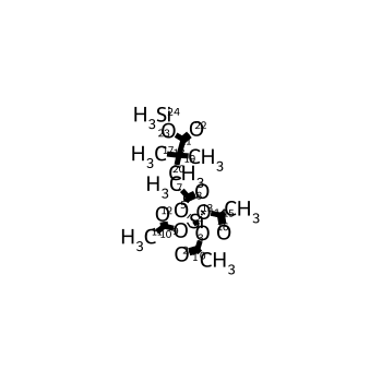 CC(=O)O[Si](OC(C)=O)(OC(C)=O)OC(C)=O.CC(C)(C)C(=O)O[SiH3]